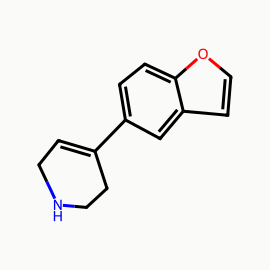 C1=C(c2ccc3occc3c2)CCNC1